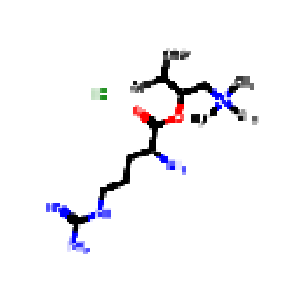 CC(=O)C(C(=O)[O-])C(C[N+](C)(C)C)OC(=O)[C@@H](N)CCCNC(=N)N.Cl